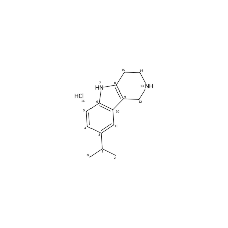 CC(C)c1ccc2[nH]c3c(c2c1)CNCC3.Cl